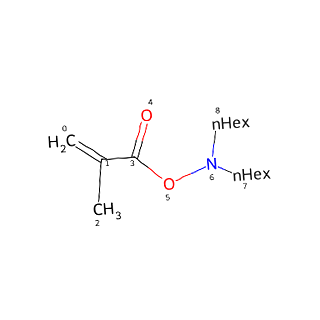 C=C(C)C(=O)ON(CCCCCC)CCCCCC